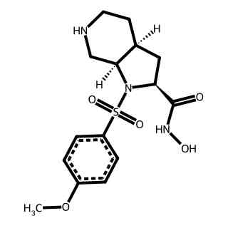 COc1ccc(S(=O)(=O)N2[C@H](C(=O)NO)C[C@@H]3CCNC[C@@H]32)cc1